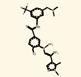 Cc1c(/C(N)=C/N(N)c2cc(C(=O)Nc3cc(CN(C)C)cc(C(F)(F)F)c3)ccc2Cl)cnn1C